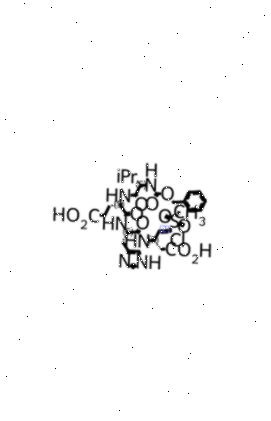 CC(C)[C@H](NC(=O)OCc1ccccc1)C(=O)N[C@@H](CCC(=O)O)C(=O)N[C@@H](Cc1c[nH]cn1)C(=O)N[C@H](/C=C(\Cl)S(C)(=O)=O)CC(=O)O